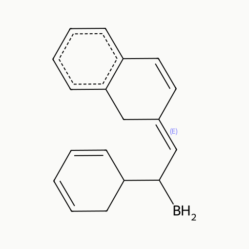 BC(/C=C1/C=Cc2ccccc2C1)C1C=CC=CC1